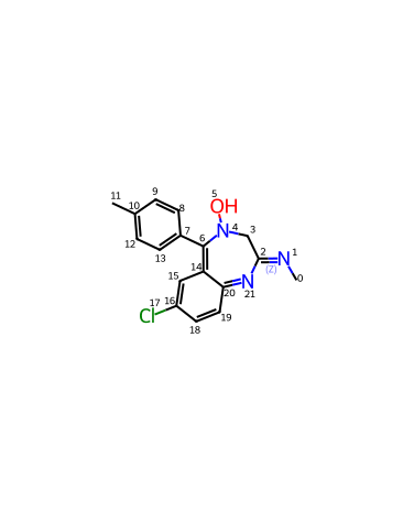 C/N=C1/CN(O)C(c2ccc(C)cc2)=c2cc(Cl)ccc2=N1